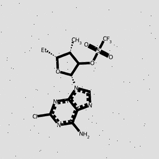 CC[C@H]1O[C@@H](n2cnc3c(N)nc(Cl)nc32)C(OS(=O)(=O)C(F)(F)F)[C@H]1C